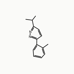 Cc1ccccc1-c1ccc(C(C)C)nn1